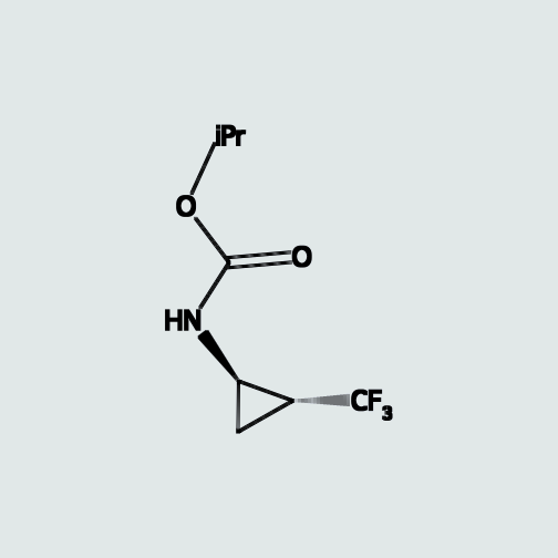 CC(C)OC(=O)N[C@@H]1C[C@H]1C(F)(F)F